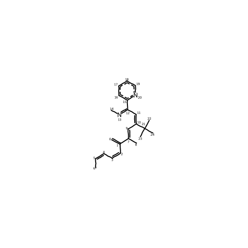 C=C(/C=C\C=C/C)/C(C)=C/C(=C\C(=N\C)c1ccccn1)C(C)(C)C